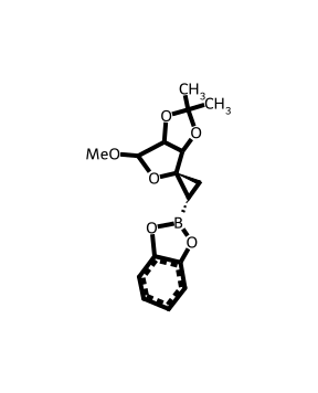 COC1O[C@]2(C[C@@H]2B2Oc3ccccc3O2)C2OC(C)(C)OC12